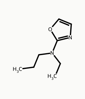 CCCN(CC)c1ncco1